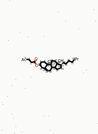 CC(=O)CCC(=O)O[C@@H]1CC[C@@]2(C)C(=CCC3C2CC[C@@]2(C)C3CC[C@@H]2CCCCC(C)C)C1